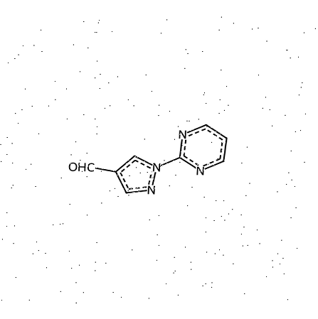 O=Cc1cnn(-c2ncccn2)c1